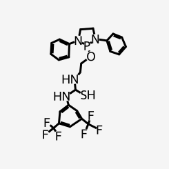 FC(F)(F)c1cc(NC(S)NCCOP2N(c3ccccc3)CCN2c2ccccc2)cc(C(F)(F)F)c1